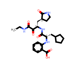 CCNC(=O)C(=O)[C@H](C[C@@H]1CCNC1=O)NC(=O)[C@H](CC1CCCC1)Nc1ccccc1C(=O)O